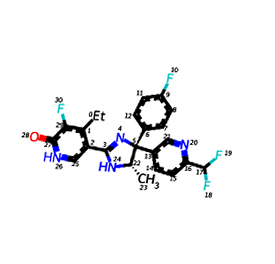 CCc1c(C2=N[C@](c3ccc(F)cc3)(c3ccc(C(F)F)nc3)[C@H](C)N2)c[nH]c(=O)c1F